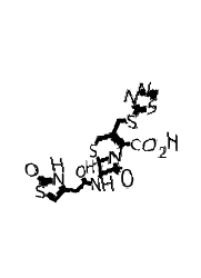 O=C(Cc1csc(=O)[nH]1)NC1C(=O)N2C(C(=O)O)=C(CSc3nncs3)CS[C@H]12